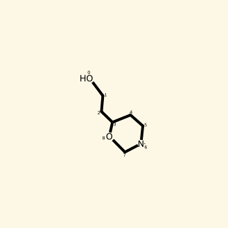 OCCC1CC[N]CO1